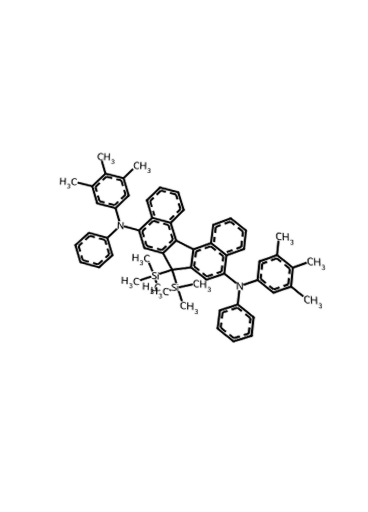 Cc1cc(N(c2ccccc2)c2cc3c(c4ccccc24)-c2c(cc(N(c4ccccc4)c4cc(C)c(C)c(C)c4)c4ccccc24)C3([Si](C)(C)C)[Si](C)(C)C)cc(C)c1C